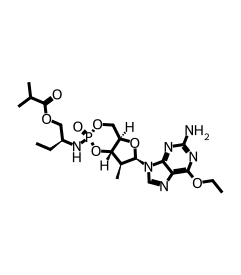 CCOc1nc(N)nc2c1ncn2[C@@H]1O[C@@H]2COP(=O)(N[C@@H](CC)COC(=O)C(C)C)O[C@H]2[C@@H]1C